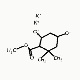 COC(=O)C1C([O-])CC([O-])CC1(C)C.[K+].[K+]